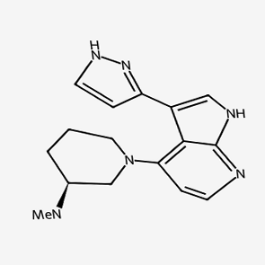 CN[C@H]1CCCN(c2ccnc3[nH]cc(-c4cc[nH]n4)c23)C1